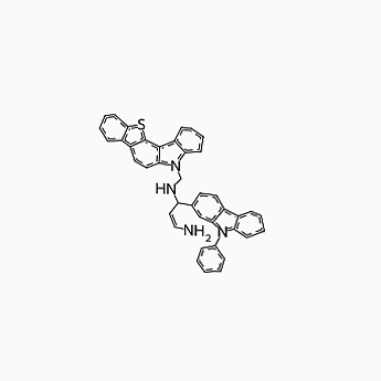 N/C=C\C(NCn1c2ccccc2c2c3sc4ccccc4c3ccc21)c1ccc2c3ccccc3n(-c3ccccc3)c2c1